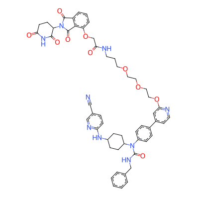 N#Cc1ccc(NC2CCC(N(C(=O)NCc3ccccc3)c3ccc(-c4ccnc(OCCOCCOCCCNC(=O)COc5cccc6c5C(=O)N(C5CCC(=O)NC5=O)C6=O)c4)cc3)CC2)nc1